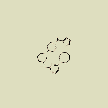 O=C(c1cccs1)N1CCC(N2CCCC(Nc3nccc(N4CCCCCC4)n3)C2)CC1